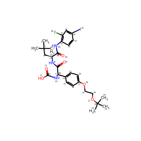 CC(C)(C)C[C@H](NC(=O)[C@H](NC(=O)O)c1ccc(OCCOC(C)(C)C)cc1)C(=O)Nc1ccc(I)cc1F